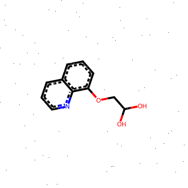 OC(O)COc1cccc2cccnc12